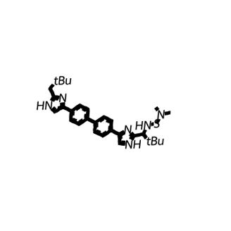 CN(C)SNC(c1nc(-c2ccc(-c3ccc(-c4c[nH]c(CC(C)(C)C)n4)cc3)cc2)c[nH]1)C(C)(C)C